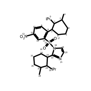 CC(C)C1C(C)CCCC1c1ccc([N+](=O)[O-])cc1S(=O)(=O)n1ccnc1C1CCCC(C)C1C(C)C